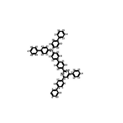 c1ccc(-c2ccc(-c3cc(-c4ccccc4)nc(-c4ccc(-c5ccc(N(c6ccc(-c7ccccc7)cc6)c6ccc(-c7ccccc7)cc6)cc5)cc4)n3)cc2)cc1